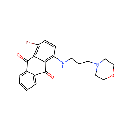 O=C1c2ccccc2C(=O)c2c(NCCCN3CCOCC3)ccc(Br)c21